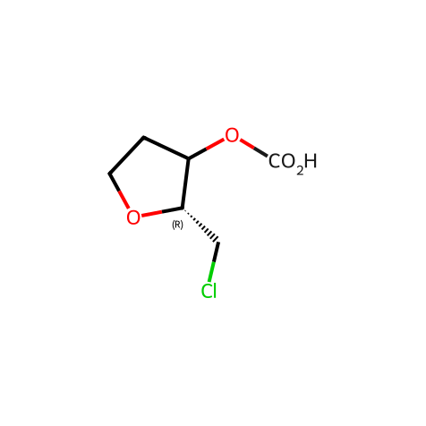 O=C(O)OC1CCO[C@H]1CCl